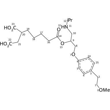 COCCc1ccc(OCC(CNC(C)C)OC(=O)CCCCC(CC(=O)O)C(=O)O)cc1